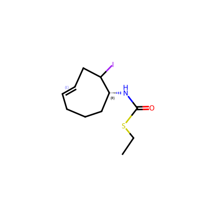 CCSC(=O)N[C@@H]1CCC/C=C/CC1I